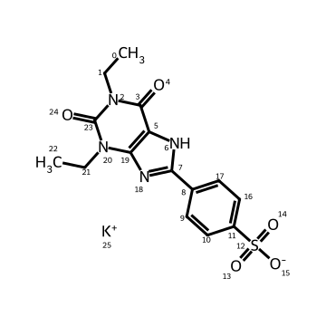 CCn1c(=O)c2[nH]c(-c3ccc(S(=O)(=O)[O-])cc3)nc2n(CC)c1=O.[K+]